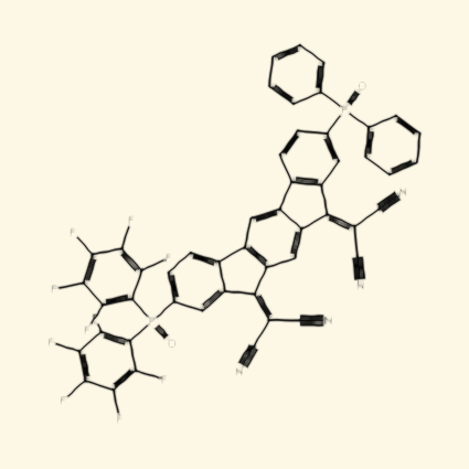 N#CC(C#N)=C1c2cc(P(=O)(c3ccccc3)c3ccccc3)ccc2-c2cc3c(cc21)C(=C(C#N)C#N)c1cc(P(=O)(c2c(F)c(F)c(F)c(F)c2F)c2c(F)c(F)c(F)c(F)c2F)ccc1-3